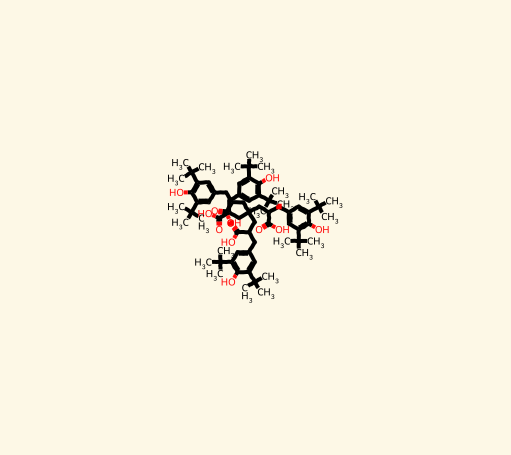 CC(C)(C)c1cc(CC(CC(CC(Cc2cc(C(C)(C)C)c(O)c(C(C)(C)C)c2)C(=O)O)(CC(Cc2cc(C(C)(C)C)c(O)c(C(C)(C)C)c2)C(=O)O)CC(Cc2cc(C(C)(C)C)c(O)c(C(C)(C)C)c2)C(=O)O)C(=O)O)cc(C(C)(C)C)c1O